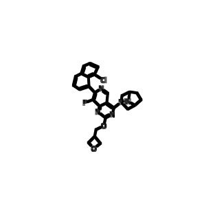 Fc1c(-c2cccc3cccc(Cl)c23)ncc2c(N3CC4CCC(C3)N4)nc(OCC3COC3)nc12